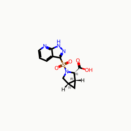 O=C(O)[C@@H]1[C@@H]2C[C@@H]2CN1S(=O)(=O)c1n[nH]c2ncccc12